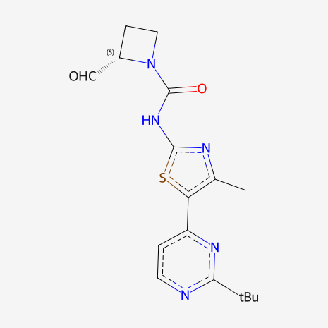 Cc1nc(NC(=O)N2CC[C@H]2C=O)sc1-c1ccnc(C(C)(C)C)n1